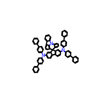 c1ccc(-c2ccc(N(c3ccc(-c4ccccc4)cc3)c3ccc4c(c3)C3(c5cc(N(c6ccc(-c7ccccc7)cc6)c6ccc(-c7ccccc7)cc6)ccc5-4)c4ccccc4-n4c5ccccc5c5cccc3c54)cc2)cc1